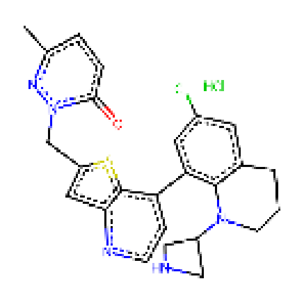 Cc1ccc(=O)n(Cc2cc3nccc(-c4cc(Cl)cc5c4N(C4CNC4)CCC5)c3s2)n1.Cl